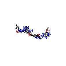 C#Cc1ccc(C(=O)N2CCN(c3ccc(C4=CC(OCCC#Cc5ccc(C(=O)NC6(C)CCN(c7ccc(-c8cc(OCC)cn9ncc(C#N)c89)cn7)CC6)cc5)=CN/C4=C(/C#N)C=N)cn3)CC2)cc1